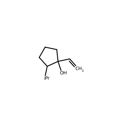 C=CC1(O)CCCC1C(C)C